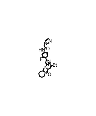 CCc1cc(C(=O)N2CCCCCC2C)nc2cc(-c3ccc(NC(=O)Cn4ccnc4)cc3F)nn12